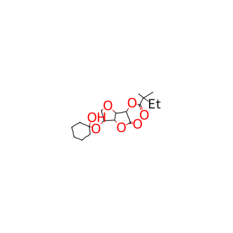 CCC(C)(C)C(=O)OC1C(=O)OC2C(OC3(O)CCCCC3)COC12